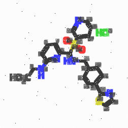 Cl.O=C(O)CNc1cccc(C(NCc2ccc(-c3nccs3)cc2)S(=O)(=O)c2cccnc2)n1